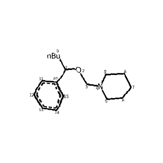 CCCCC(OCN1CCCCC1)c1ccccc1